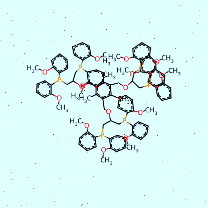 COc1ccccc1P(CC(CP(c1ccccc1OC)c1ccccc1OC)OCc1c(C)c(COC(CP(c2ccccc2OC)c2ccccc2OC)CP(c2ccccc2OC)c2ccccc2OC)c(C)c(COC(CP(c2ccccc2OC)c2ccccc2OC)CP(c2ccccc2OC)c2ccccc2OC)c1C)c1ccccc1OC